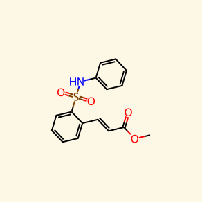 COC(=O)C=Cc1ccccc1S(=O)(=O)Nc1ccccc1